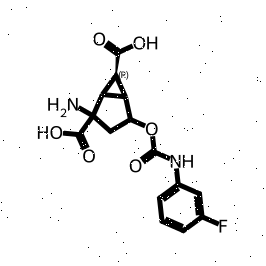 NC1(C(=O)O)CC(OC(=O)Nc2cccc(F)c2)C2C1[C@H]2C(=O)O